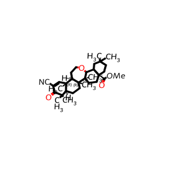 COC(=O)[C@]12CCC(C)(C)CC1C1OCC[C@@H]3[C@@]4(C)C=C(C#N)C(=O)C(C)(C)[C@@H]4CC[C@@]3(C)[C@]1(C)CC2